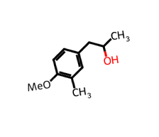 COc1ccc(CC(C)O)cc1C